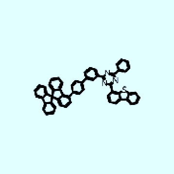 c1ccc(-c2nc(-c3cccc(-c4ccc(-c5cccc6c5-c5ccccc5C65c6ccccc6-c6ccccc65)cc4)c3)nc(-c3cccc4c3sc3ccccc34)n2)cc1